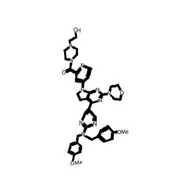 COc1ccc(CN(Cc2ccc(OC)cc2)c2ncc(-c3nc(N4CCOCC4)nc4c3CCN4c3ccnc(C(=O)N4CCN(CCO)CC4)c3)cn2)cc1